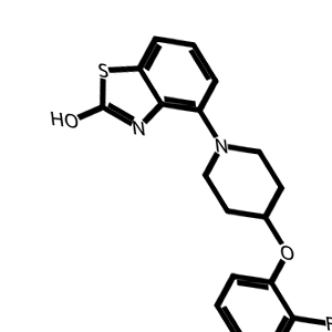 Oc1nc2c(N3CCC(Oc4ccccc4F)CC3)cccc2s1